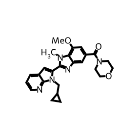 COc1cc(C(=O)N2CCOCC2)cc2nc(-c3cc4cccnc4n3CC3CC3)n(C)c12